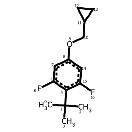 CC(C)(C)c1c(F)cc(OCC2CC2)cc1F